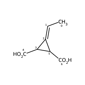 CC=C1C(C(=O)O)C1C(=O)O